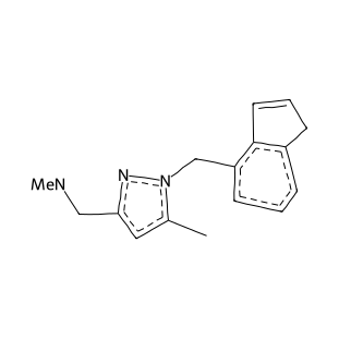 CNCc1cc(C)n(Cc2cccc3c2C=CC3)n1